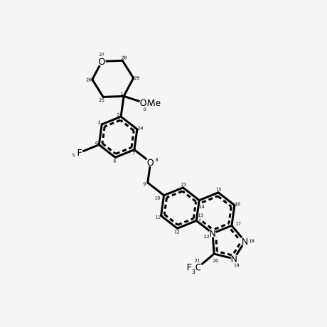 COC1(c2cc(F)cc(OCc3ccc4c(ccc5nnc(C(F)(F)F)n54)c3)c2)CCOCC1